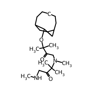 CNCC(=O)C(C)(C)N(C)CC(=O)C(C)(C)OC1C2CCCCCC3C(C2)C31